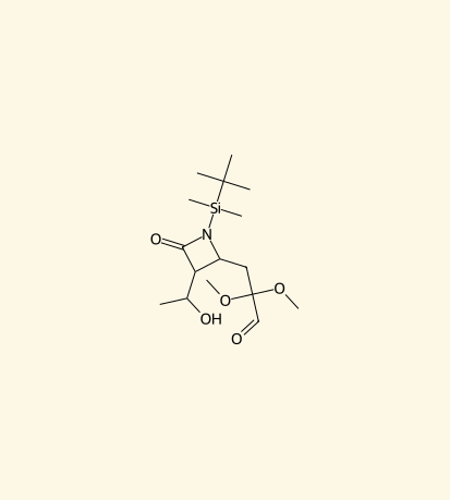 COC(C=O)(CC1C(C(C)O)C(=O)N1[Si](C)(C)C(C)(C)C)OC